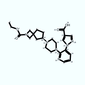 CCOC(=O)N1CC2(CC[C@@H](N3CCN(c4ncccc4-n4cc(C(=O)O)cn4)CC3)C2)C1